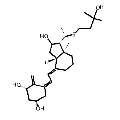 C=C1C(=CC=C2CCC[C@]3(C)[C@@H]([C@H](C)SCCC(C)(C)O)[C@H](O)C[C@@H]23)C[C@@H](O)C[C@@H]1O